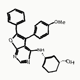 COc1ccc(-c2c(-c3ccccc3)oc3ncnc(N[C@H]4CCC[C@@H](O)C4)c23)cc1